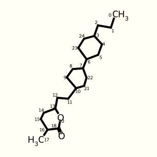 CCCC1CCC(C2CCC(CCC3CCC(C)C(=O)O3)CC2)CC1